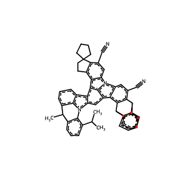 CC(C)c1cccc2c1-n1c3cc4c5c6c(c(C#N)cc5n5c7cc(C#N)c8c(c7c(c3c3cccc(c31)C2C)c45)CCC81CCCC1)C1c2ccccc2C6c2ccccc21